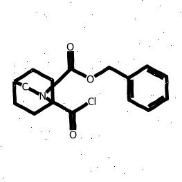 O=C(OCc1ccccc1)N1CC2CCC1(C(=O)Cl)CC2